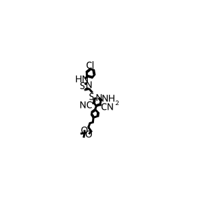 CC1(C)OCC(CCc2ccc(-c3c(C#N)c(N)nc(SCc4csc(Nc5cccc(Cl)c5)n4)c3C#N)cc2)O1